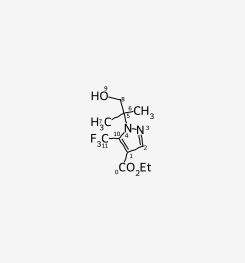 CCOC(=O)c1cnn(C(C)(C)CO)c1C(F)(F)F